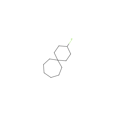 FC1CCC2(CCCCCC2)CC1